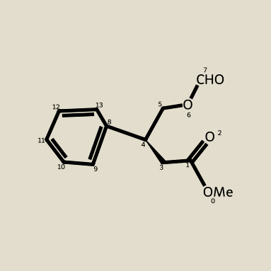 COC(=O)C[C@H](COC=O)c1ccccc1